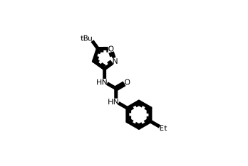 CCc1ccc(NC(=O)Nc2cc(C(C)(C)C)on2)cc1